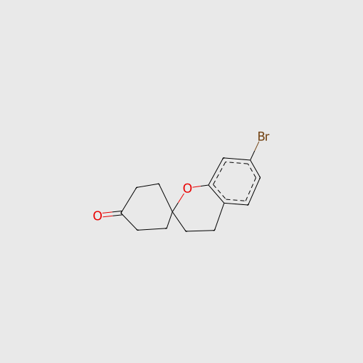 O=C1CCC2(CC1)CCc1ccc(Br)cc1O2